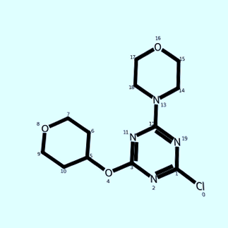 Clc1nc(OC2CCOCC2)nc(N2CCOCC2)n1